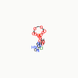 CC1(C)O[C@@H]2[C@H](O1)[C@@H](COCP1(=O)OCOC(=O)C(C)(C)COC/C=C\COCC(C)(C)C(=O)OCO1)O[C@H]2n1ccc2c(NC3CCCC3)c(C#N)c(Cl)nc21